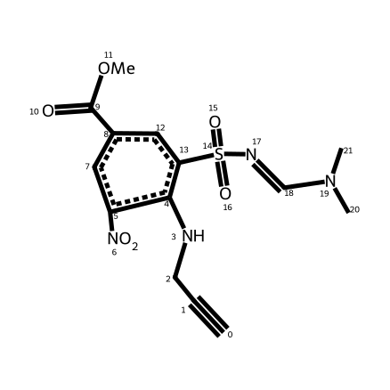 C#CCNc1c([N+](=O)[O-])cc(C(=O)OC)cc1S(=O)(=O)N=CN(C)C